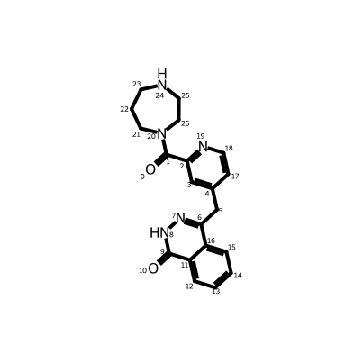 O=C(c1cc(Cc2n[nH]c(=O)c3ccccc23)ccn1)N1CCCNCC1